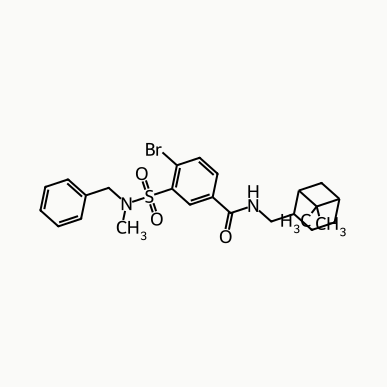 CN(Cc1ccccc1)S(=O)(=O)c1cc(C(=O)NCC2CCC3CC2C3(C)C)ccc1Br